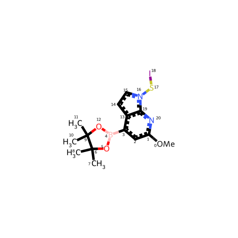 COc1cc(B2OC(C)(C)C(C)(C)O2)c2ccn(SI)c2n1